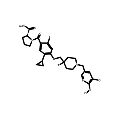 COC(=O)[C@@H]1CCCN1C(=O)c1cc(C2CC2)c(OCC2(F)CCN(Cc3cnc(OC(C)C)c(Cl)c3)CC2)cc1F